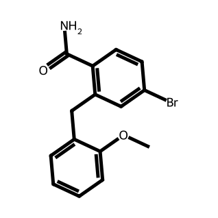 COc1ccccc1Cc1cc(Br)ccc1C(N)=O